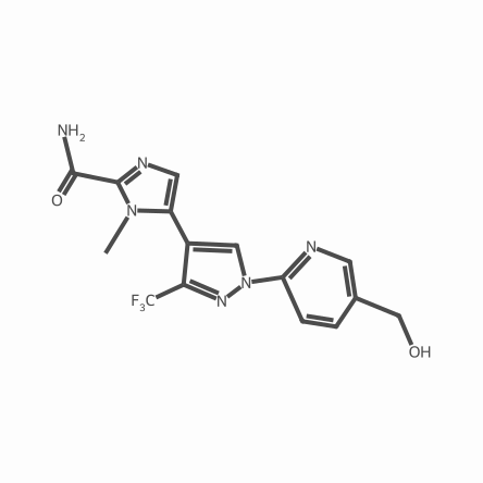 Cn1c(-c2cn(-c3ccc(CO)cn3)nc2C(F)(F)F)cnc1C(N)=O